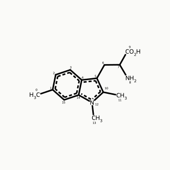 Cc1ccc2c(CC(N)C(=O)O)c(C)n(C)c2c1